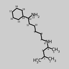 CC(C)CC(C)NCCCCCC(N)C1CCCCC1